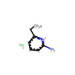 Cl.Nc1cccc(CC(=O)O)n1